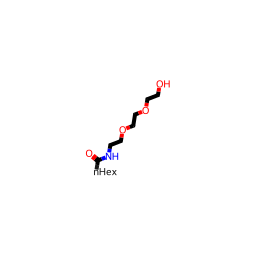 CCCCCCC(=O)NCCOCCOCCO